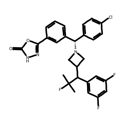 CC(C)(F)C(c1cc(F)cc(F)c1)C1CN([C@@H](c2ccc(Cl)cc2)c2cccc(-c3n[nH]c(=O)o3)c2)C1